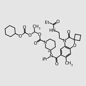 CCC(=O)NCCN1C(=O)C2(CCC2)Oc2cc(C)c(C(=O)N(C(C)C)[C@@H]3CCCN(C(=O)OC(C)OC(=O)OC4CCCCC4)C3)cc21